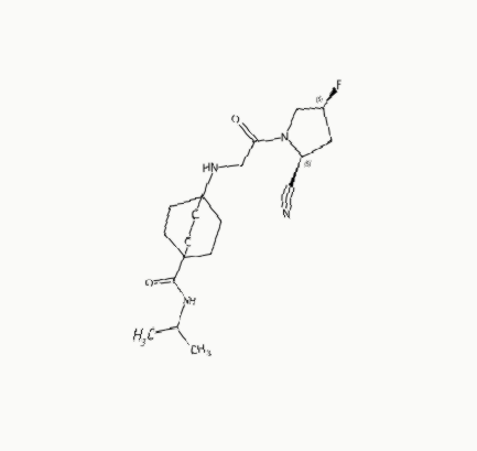 CC(C)NC(=O)C12CCC(NCC(=O)N3C[C@@H](F)C[C@H]3C#N)(CC1)CC2